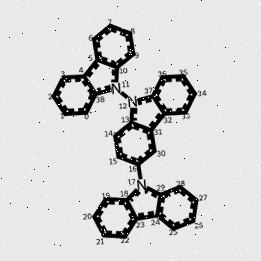 [c]1cccc2c3ccccc3n(-n3c4[c]cc(-n5c6ccccc6c6ccccc65)cc4c4ccccc43)c12